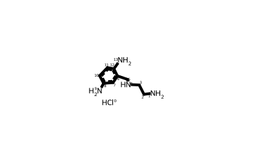 Cl.NCCNCc1cc(N)ccc1N